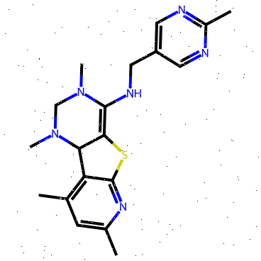 Cc1cc(C)c2c(n1)SC1=C(NCc3cnc(C)nc3)N(C)CN(C)C12